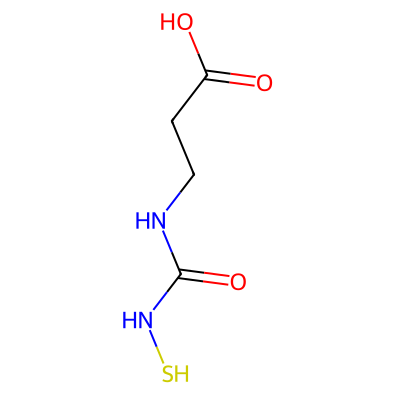 O=C(O)CCNC(=O)NS